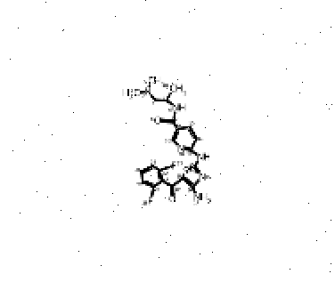 C[C@H](CN(C)C)NC(=O)c1ccc(Nc2nc(N)c(C(=O)c3c(F)cccc3F)s2)nc1